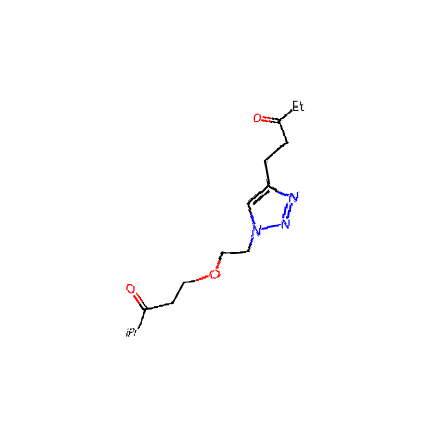 CCC(=O)CCc1cn(CCOCCC(=O)C(C)C)nn1